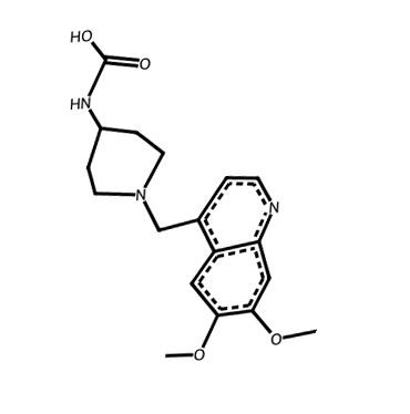 COc1cc2nccc(CN3CCC(NC(=O)O)CC3)c2cc1OC